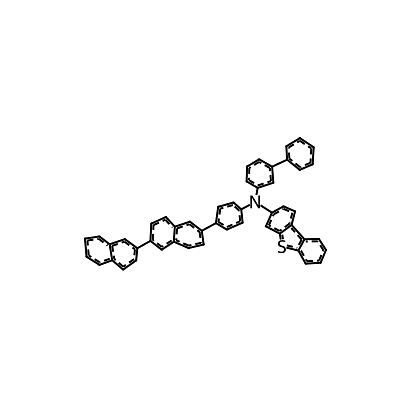 c1ccc(-c2cccc(N(c3ccc(-c4ccc5cc(-c6ccc7ccccc7c6)ccc5c4)cc3)c3ccc4c(c3)sc3ccccc34)c2)cc1